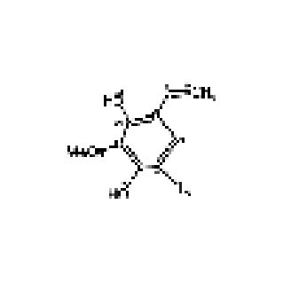 C=Cc1cc(I)c(O)c(OC)c1O